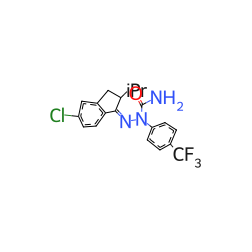 CC(C)C1Cc2cc(Cl)ccc2/C1=N/N(C(N)=O)c1ccc(C(F)(F)F)cc1